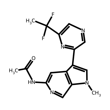 CC(=O)Nc1cc2c(-c3cncc(C(C)(F)F)n3)cn(C)c2cn1